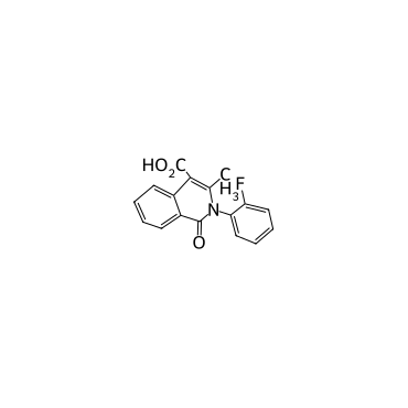 Cc1c(C(=O)O)c2ccccc2c(=O)n1-c1ccccc1F